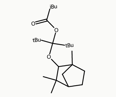 CCC(C)C(=O)OC(OC1C2(C)CCC(C2)C1(C)C)(C(C)(C)C)C(C)(C)C